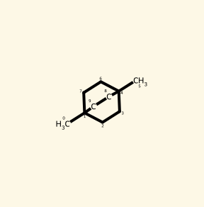 CC12CCC(C)(CC1)CC2